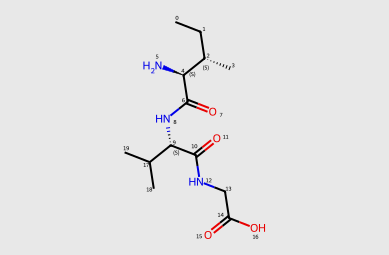 CC[C@H](C)[C@H](N)C(=O)N[C@H](C(=O)NCC(=O)O)C(C)C